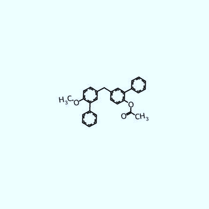 COc1ccc(Cc2ccc(OC(C)=O)c(-c3ccccc3)c2)cc1-c1ccccc1